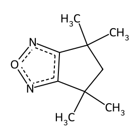 CC1(C)CC(C)(C)c2nonc21